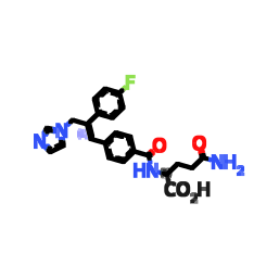 NC(=O)CC[C@H](NC(=O)c1ccc(/C=C(/Cn2ccnc2)c2ccc(F)cc2)cc1)C(=O)O